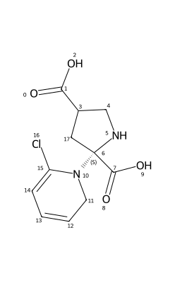 O=C(O)C1CN[C@](C(=O)O)(N2CC=CC=C2Cl)C1